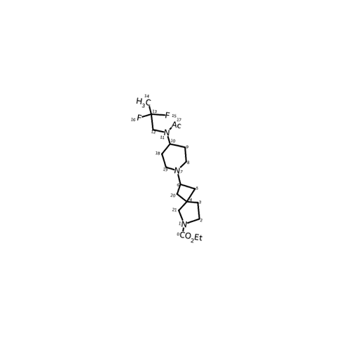 CCOC(=O)N1CCC2(CC(N3CCC(N(CC(C)(F)F)C(C)=O)CC3)C2)C1